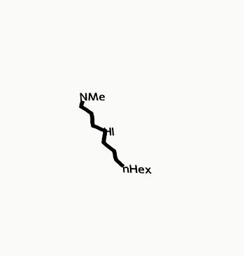 CCCCCCCCCCCCCNC.I